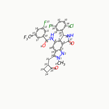 Cn1nc2c3c(c(NC(=O)c4cc(F)cc(C(F)(F)F)c4)cc2c1CC1CCC1=O)C(c1cc(F)ccc1Cl)NC3=O